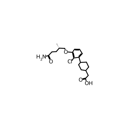 C[C@@H](CCC(N)=O)COc1cccc(C2CCC(CC(=O)O)CC2)c1Cl